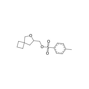 Cc1ccc(S(=O)(=O)OCC2CC3(CCC3)CO2)cc1